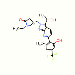 CCN1C[C@@H](Cn2nc3nc(-c4c(C)cc(C(F)(F)F)cc4O)ccc3c2C(C)O)CC1=O